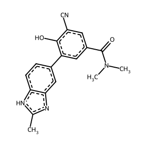 Cc1nc2cc(-c3cc(C(=O)N(C)C)cc(C#N)c3O)ccc2[nH]1